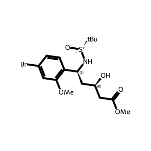 COC(=O)C[C@H](O)C[C@H](N[S@+]([O-])C(C)(C)C)c1ccc(Br)cc1OC